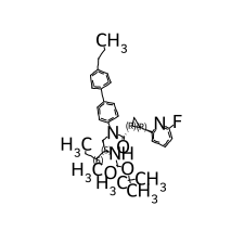 CCCc1ccc(-c2ccc(N(C[C@@H](NC(=O)OC(C)(C)C)[C@@H](C)CC)C(=O)[C@@H]3C[C@H]3c3cccc(F)n3)cc2)cc1